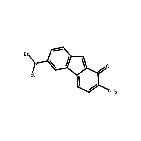 CCN(CC)c1ccc2c(c1)C1=CC=C(N)C(=O)C1=C2